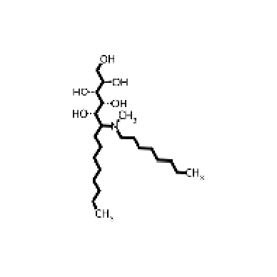 CCCCCCCCC([C@H](O)[C@@H](O)[C@H](O)[C@H](O)CO)N(C)CCCCCCCC